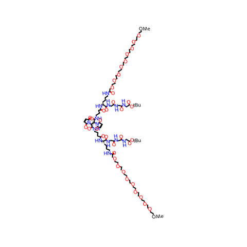 COCCOCCOCCOCCOCCOCCOCCOCCOCCOCC(=O)NCCCC[C@H](NC(=O)CCCNC(=O)[C@H]([C@@H](C(=O)NCCCC(=O)N[C@@H](CCCCNC(=O)COCCOCCOCCOCCOCCOCCOCCOCCOCCOC)C(=O)NCC(=O)NCC(=O)NCC(=O)OC(C)(C)C)N1C(=O)C=CC1=O)N1C(=O)C=CC1=O)C(=O)NCC(=O)NCC(=O)NCC(=O)OC(C)(C)C